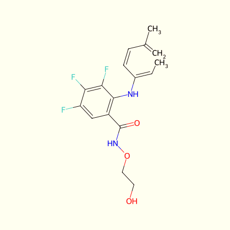 C=C(C)/C=C\C(=C/C)Nc1c(C(=O)NOCCO)cc(F)c(F)c1F